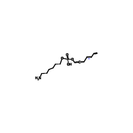 C=C/C=C/C=C=COP(=O)(O)OCCCCCCN